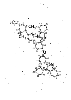 Cc1cc(C)c(-c2ccc3c4ccc(Oc5ccc6c7ccccc7n7c8ccccc8nc7c6c5)cc4c4nc5ccccc5n4c3n2)c(C)c1